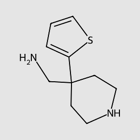 NCC1(c2cccs2)CCNCC1